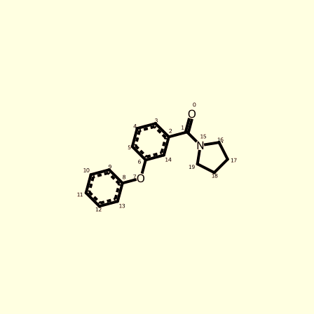 O=C(c1cccc(Oc2ccccc2)c1)N1[CH]CCC1